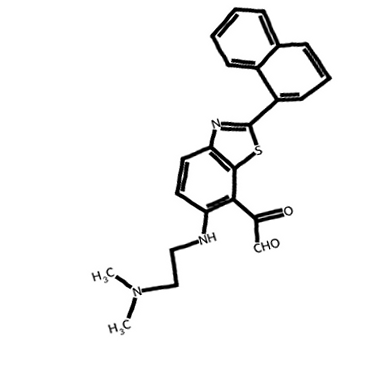 CN(C)CCNc1ccc2nc(-c3cccc4ccccc34)sc2c1C(=O)C=O